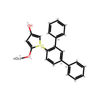 CCCCCCCCOC1=CC(O)=C[SH]1c1ccc(-c2ccccc2)cc1-c1ccccc1